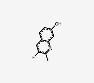 Cc1nc2cc(O)ccc2cc1F